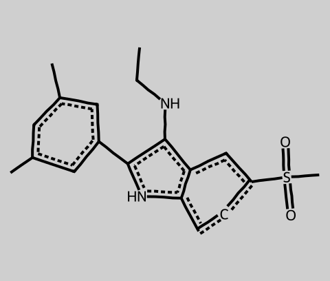 CCNc1c(-c2cc(C)cc(C)c2)[nH]c2ccc(S(C)(=O)=O)cc12